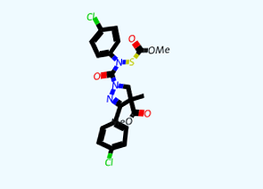 COC(=O)SN(C(=O)N1CC(C)(C(=O)OC)C(c2ccc(Cl)cc2)=N1)c1ccc(Cl)cc1